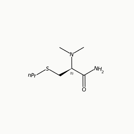 CCCSC[C@H](C(N)=O)N(C)C